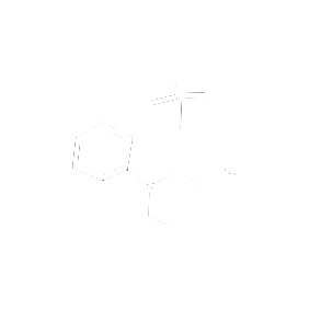 CCN(S[S][Na])c1ccccc1.O=S(=O)(O)O